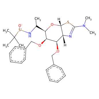 CC(N[S+]([O-])C(C)(C)C)[C@H]1O[C@@H]2SC(N(C)C)=N[C@@H]2[C@@H](OCc2ccccc2)[C@H]1OCc1ccccc1